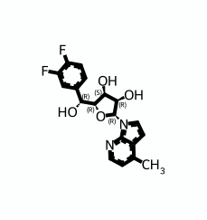 Cc1ccnc2c1ccn2[C@@H]1O[C@H]([C@H](O)c2ccc(F)c(F)c2)[C@@H](O)[C@H]1O